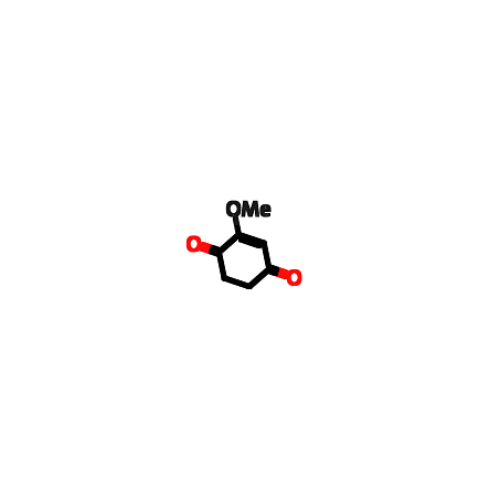 COC1=CC(=O)CCC1=O